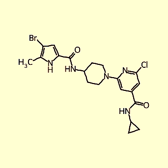 Cc1[nH]c(C(=O)NC2CCN(c3cc(C(=O)NC4CC4)cc(Cl)n3)CC2)cc1Br